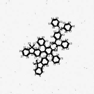 CC1(C)c2ccccc2-c2ccc(-c3c(-c4ccc5c(c4)C(C)(C)c4ccccc4-5)c(-c4ccccc4)c4nc(-c5ccc(N(c6ccccc6)c6ccccc6)cc5)c(-c5ccccc5)nc4c3-c3ccccc3)cc21